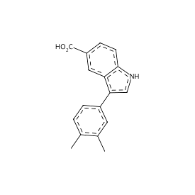 Cc1ccc(-c2c[nH]c3ccc(C(=O)O)cc23)cc1C